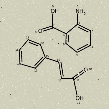 Nc1ccccc1C(=O)O.O=C(O)/C=C/c1ccccc1